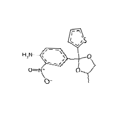 CC1COC(c2ccc(N)c([N+](=O)[O-])c2)(c2cccs2)O1